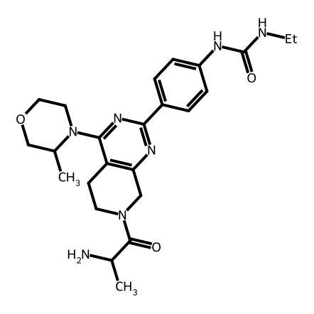 CCNC(=O)Nc1ccc(-c2nc3c(c(N4CCOCC4C)n2)CCN(C(=O)C(C)N)C3)cc1